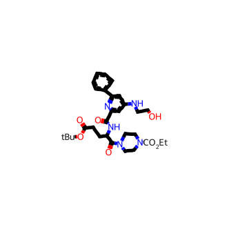 CCOC(=O)N1CCN(C(=O)C(CCC(=O)OC(C)(C)C)NC(=O)c2cc(NCCO)cc(-c3ccccc3)n2)CC1